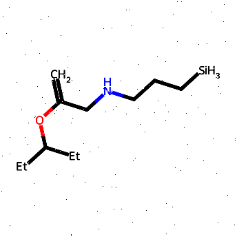 C=C(CNCCC[SiH3])OC(CC)CC